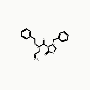 C=CC[C@@H](OCc1ccccc1)C(=O)N1C(=O)OC[C@@H]1Cc1ccccc1